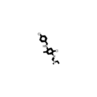 CCN(C)C=Nc1cc(C)c(NCc2ccc(Cl)cc2)cc1Cl